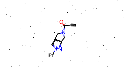 C#CC(=O)N1Cc2cn(C(C)C)nc2C1